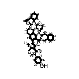 C#Cc1ccccc1OC(=O)N1CCc2cc(-c3cc(C(=O)N(C)c4ccc(O)cc4)c(C)n3C)c(C(=O)N3Cc4ccccc4C[C@H]3CN3CCOCC3)cc2C1